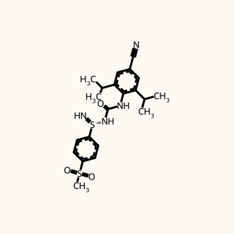 CC(C)c1cc(C#N)cc(C(C)C)c1NC(=O)N[S@@](=N)c1ccc(S(C)(=O)=O)cc1